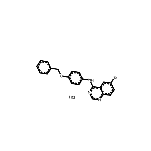 Brc1ccc2ncnc(Nc3ccc(OCc4ccccc4)cc3)c2c1.Cl